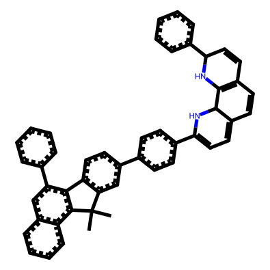 CC1(C)c2cc(-c3ccc(C4=CC=C5C=CC6=C(NC(c7ccccc7)C=C6)C5N4)cc3)ccc2-c2c(-c3ccccc3)cc3ccccc3c21